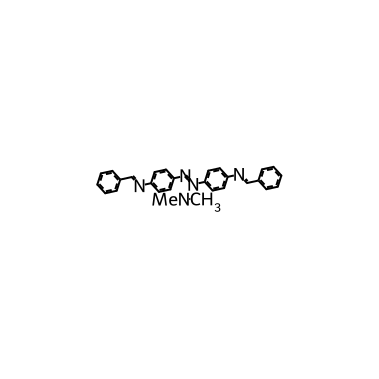 C(=Nc1ccc(N=Nc2ccc(N=Cc3ccccc3)cc2)cc1)c1ccccc1.CNC